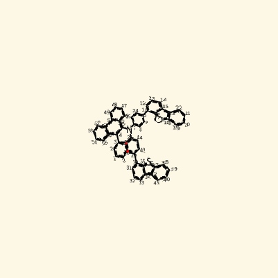 c1ccc(-c2c(N(c3ccc(-c4cccc5c4oc4ccccc45)cc3)c3ccc(-c4cccc5c4sc4ccccc45)cc3)c3ccccc3c3ccccc23)cc1